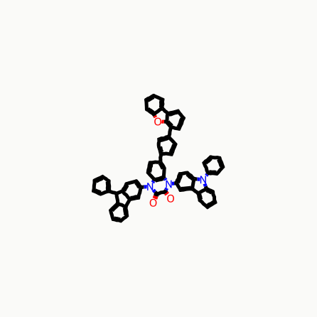 O=c1c(=O)n(-c2ccc3c(c2)c2ccccc2n3-c2ccccc2)c2cc(-c3ccc(-c4cccc5c4oc4ccccc45)cc3)ccc2n1-c1ccc2c(c1)-c1ccccc1C2c1ccccc1